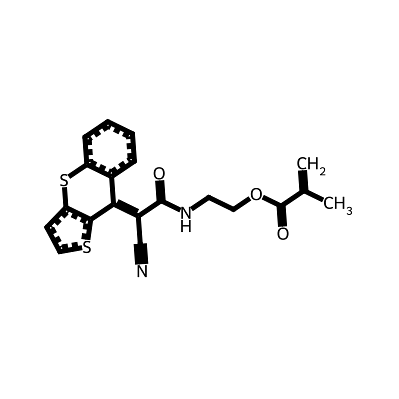 C=C(C)C(=O)OCCNC(=O)C(C#N)=C1c2ccccc2Sc2ccsc21